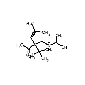 CC(C)=C[Si](CNC(C)C)([SiH](C)C)C(C)(C)C